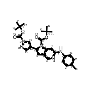 Cc1ccc(Nc2cc3c(cn2)cc(-c2cnn(C(=O)OC(C)(C)C)c2)n3C(=O)OC(C)(C)C)cc1